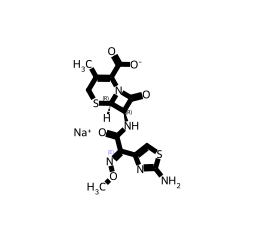 CO/N=C(/C(=O)N[C@@H]1C(=O)N2C(C(=O)[O-])=C(C)CS[C@H]12)c1csc(N)n1.[Na+]